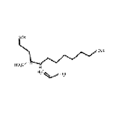 C=CC(=O)O.CCCCCCCCCCCCCCCCN[C@@H](CCSC)C(=O)O